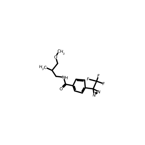 COCC(C)CNC(=O)c1ccc(C2(C(F)(F)F)N=N2)cc1